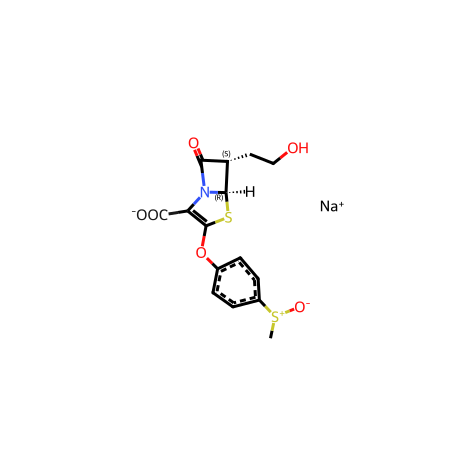 C[S+]([O-])c1ccc(OC2=C(C(=O)[O-])N3C(=O)[C@H](CCO)[C@H]3S2)cc1.[Na+]